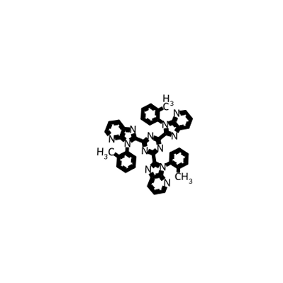 Cc1ccccc1-n1c(-c2nc(-c3nc4cccnc4n3-c3ccccc3C)nc(-c3nc4cccnc4n3-c3ccccc3C)n2)nc2cccnc21